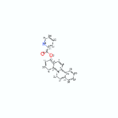 O=C(OC1=c2ccc3c(c2CC=C1)CC=c1ccccc1=3)c1ccccn1